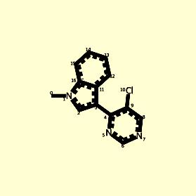 Cn1cc(-c2n[c]ncc2Cl)c2ccccc21